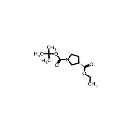 CCOC(=O)[C@H]1CCN(C(=O)OC(C)(C)C)C1